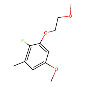 COCCOc1cc(OC)cc(C)c1F